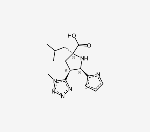 CC(C)C[C@@]1(C(=O)O)C[C@H](c2nnnn2C)[C@H](c2nccs2)N1